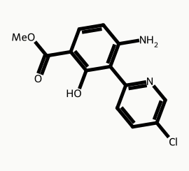 COC(=O)c1ccc(N)c(-c2ccc(Cl)cn2)c1O